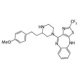 COc1ccc(CCC2CN(C3=Nc4ccccc4Nc4sc(C(F)(F)F)nc43)CCN2)cc1